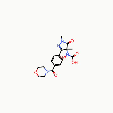 CN1N=C(c2ccc(C(=O)N3CCOCC3)cc2)C(C)(N(O)C(=O)O)C1=O